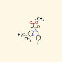 CCOC(=O)c1cc2cc(C(C)C)cnc2n(Cc2ccc(F)cc2)c1=O